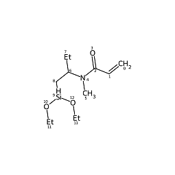 C=CC(=O)N(C)C(CC)C[SiH](OCC)OCC